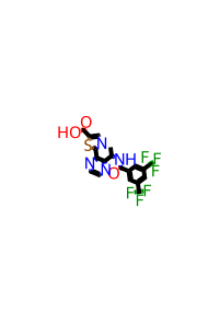 CC(NC(=O)c1cc(C(F)(F)F)cc(C(F)(F)F)c1)c1nccnc1-c1ncc(C(=O)O)s1